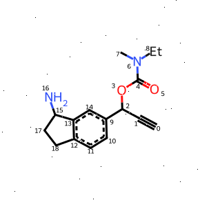 C#CC(OC(=O)N(C)CC)c1ccc2c(c1)C(N)CC2